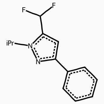 CC(C)n1nc(-c2ccccc2)cc1C(F)F